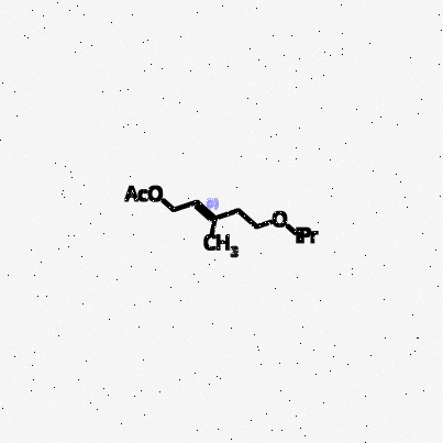 CC(=O)OC/C=C(\C)CCOC(C)C